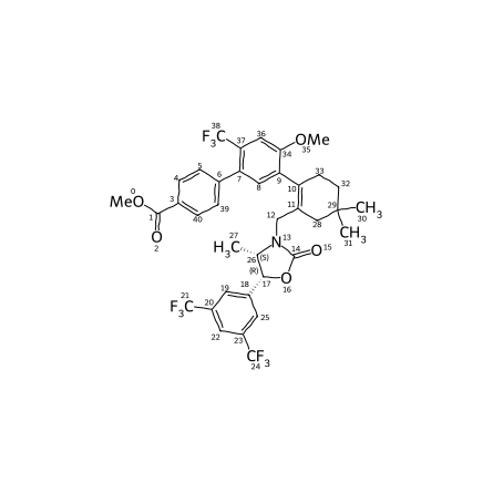 COC(=O)c1ccc(-c2cc(C3=C(CN4C(=O)O[C@H](c5cc(C(F)(F)F)cc(C(F)(F)F)c5)[C@@H]4C)CC(C)(C)CC3)c(OC)cc2C(F)(F)F)cc1